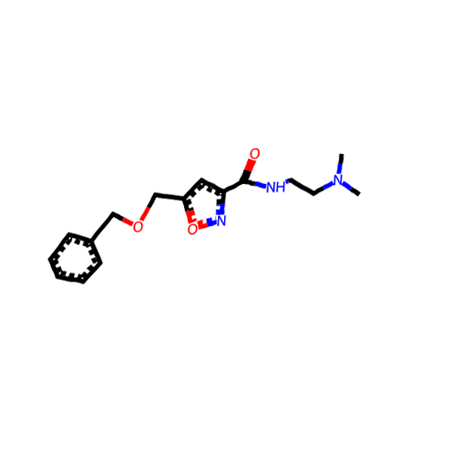 CN(C)CCNC(=O)c1cc(COCc2ccccc2)on1